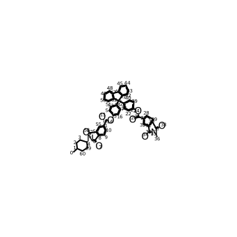 CC1CCC(N2C(=O)c3ccc(C(=O)Oc4ccc(C5(c6ccc(OC(=O)c7ccc8c(c7)C(=O)N(C)C8=O)cc6)c6ccccc6-c6ccccc65)cc4)cc3C2=O)CC1